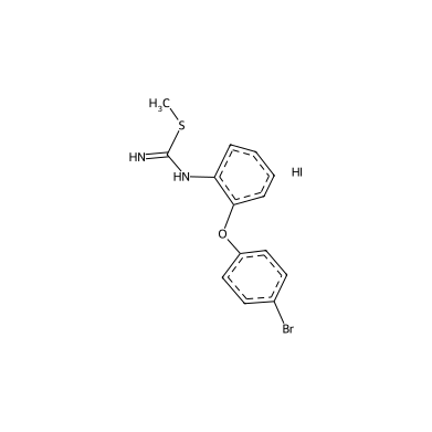 CSC(=N)Nc1ccccc1Oc1ccc(Br)cc1.I